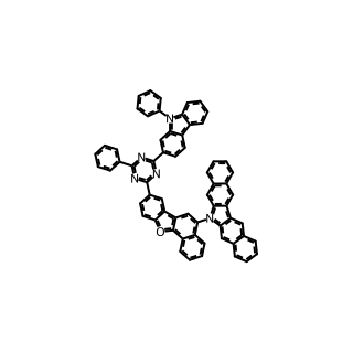 c1ccc(-c2nc(-c3ccc4oc5c6ccccc6c(-n6c7cc8ccccc8cc7c7cc8ccccc8cc76)cc5c4c3)nc(-c3ccc4c5ccccc5n(-c5ccccc5)c4c3)n2)cc1